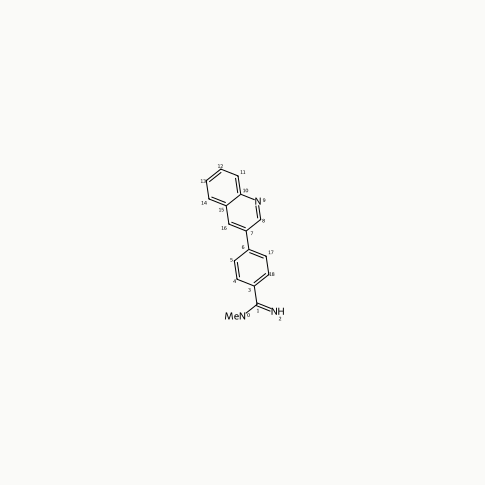 CNC(=N)c1ccc(-c2cnc3ccccc3c2)cc1